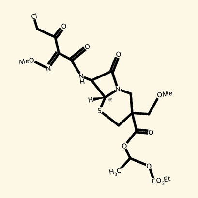 CCOC(=O)OC(C)OC(=O)C1(COC)CS[C@@H]2C(NC(=O)C(=NOC)C(=O)CCl)C(=O)N2C1